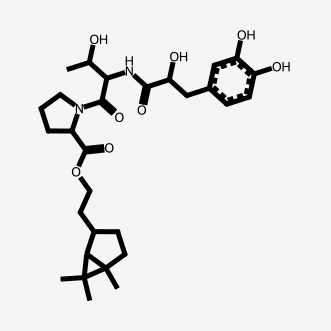 CC(O)C(NC(=O)C(O)Cc1ccc(O)c(O)c1)C(=O)N1CCCC1C(=O)OCCC1CCC2(C)C1C2(C)C